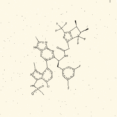 Cc1nc2nc([C@H](Cc3cc(F)cc(F)c3)NC(=O)Cn3nc(C(F)(F)F)c4c3C(F)(F)[C@H](C)[C@@H]4C)c(-c3ccc(Cl)c4c(NS(C)(=O)=O)nn(C)c34)cc2[nH]1